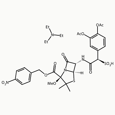 CCN(CC)CC.CO[C@@]1(C(=O)OCc2ccc([N+](=O)[O-])cc2)N2C(=O)[C@H](NC(=O)[C@@H](c3ccc(OC(C)=O)c(OC(C)=O)c3)S(=O)(=O)O)[C@H]2SC1(C)C